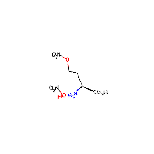 N[C@@H](CCO[N+](=O)[O-])C(=O)O.O=[N+]([O-])O